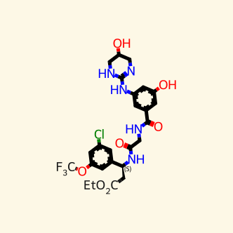 CCOC(=O)C[C@H](NC(=O)CNC(=O)c1cc(O)cc(NC2=NCC(O)CN2)c1)c1cc(Cl)cc(OC(F)(F)F)c1